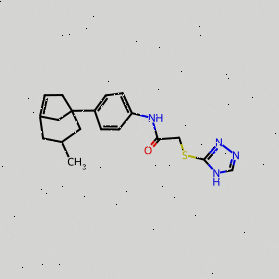 CC1CC2=CCC(c3ccc(NC(=O)CSc4nnc[nH]4)cc3)(C2)C1